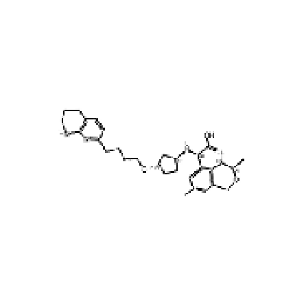 Cc1cc2c(c([C@H](C(=O)O)N(C)[C@H]3CC[C@H](OCCCCc4ccc5c(n4)NCCC5)C3)c1)[C@H](C)[C@@H](C)OC2